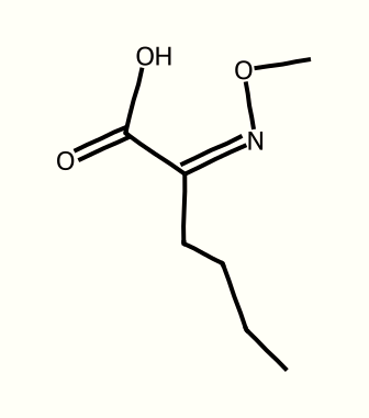 CCCCC(=NOC)C(=O)O